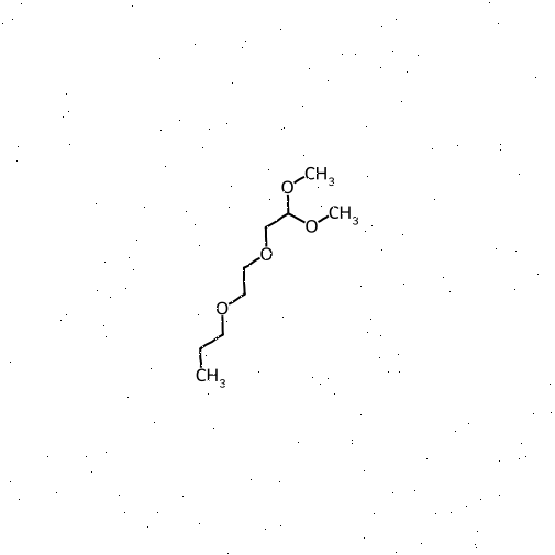 CCCOCCOCC(OC)OC